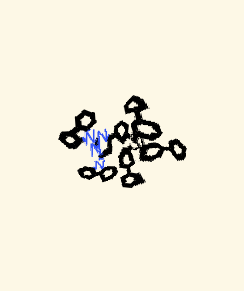 c1ccc(-c2cccc([Si](c3cccc(-c4ccccc4)c3)(c3cccc(-c4ccccc4)c3)c3cccc(-c4cc(-n5c6ccccc6c6ccccc65)nc(-n5c6ccccc6c6ccccc65)n4)c3)c2)cc1